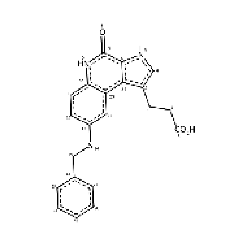 O=C(O)CCc1c[nH]c2c(=O)[nH]c3ccc(SCc4ccccc4)cc3c12